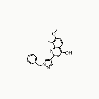 COc1ccc2c(O)cc(-c3cnn(Cc4ccccc4)c3)nc2c1C